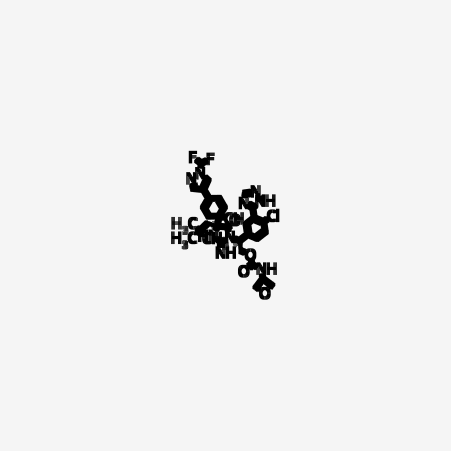 CC(C)(C)C[C@]1(C2(C)C=CC(c3cnn(C(F)F)c3)=CC2)NC(=N)N([C@H](COC(=O)NC2COC2)c2ccc(Cl)c(-c3ncn[nH]3)c2)C1=O